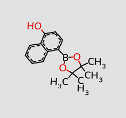 CC1(C)OB(c2ccc(O)c3ccccc23)OC1(C)C